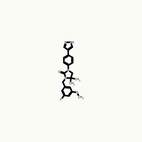 COc1cc(F)cc(CN2C(=O)N(c3ccc(-c4cn[nH]c4)cc3)CC2(C)C)c1